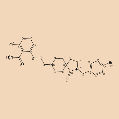 NC(=O)c1c(Cl)cccc1[CH]CCN1CCC2(CC1)CCN(Cc1ccc(Br)cc1)C2=O